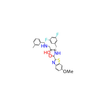 COc1ccc2nc(C(=O)N[C@@H](Cc3cc(F)cc(F)c3)[C@H](O)CNCc3cccc(C)c3)sc2c1